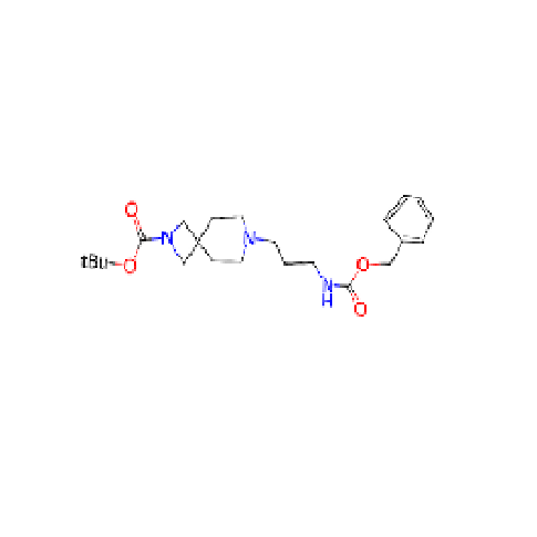 CC(C)(C)OC(=O)N1CC2(CCN(CCCNC(=O)OCc3ccccc3)CC2)C1